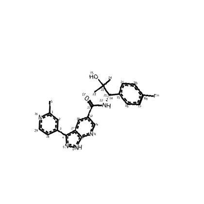 Cc1cc(-c2n[nH]c3ncc(C(=O)N[C@@H](c4ccc(F)cc4)C(C)(C)O)cc23)ccn1